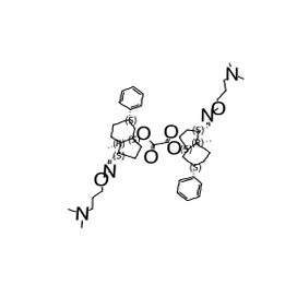 CN(C)CCCON=C[C@H]1CC[C@]2(OC(=O)C(=O)O[C@]34CC[C@H](C=NOCCCN(C)C)[C@@]3(C)CC[C@H](c3ccccc3)C4)C[C@@H](c3ccccc3)CC[C@]12C